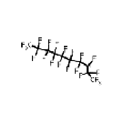 F[C](C(F)(F)C(F)(F)F)C(F)(F)C(F)(F)C(F)(F)C(F)(F)C(F)(F)C(F)(F)C(F)(F)F